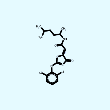 CC(C)CCC(C)NC(=O)/C=C1\SC(Nc2c(Cl)cccc2Cl)=NC1=O